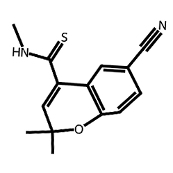 CNC(=S)C1=CC(C)(C)Oc2ccc(C#N)cc21